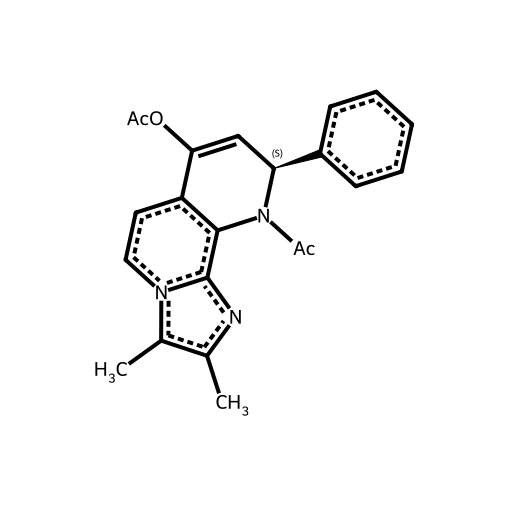 CC(=O)OC1=C[C@@H](c2ccccc2)N(C(C)=O)c2c1ccn1c(C)c(C)nc21